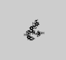 COc1cccc(C(=O)Nc2cccc(-c3nc(C)sc3-c3ccnc(Nc4ccc5c(c4)CN(C)CC5)n3)c2)c1.O=C(O)C(F)(F)F